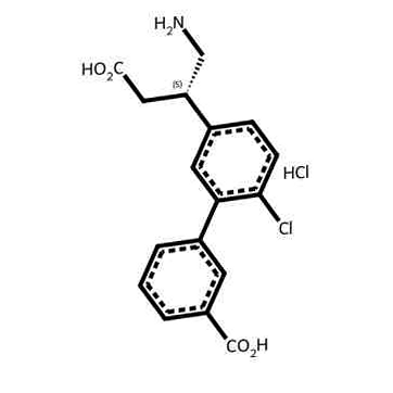 Cl.NC[C@@H](CC(=O)O)c1ccc(Cl)c(-c2cccc(C(=O)O)c2)c1